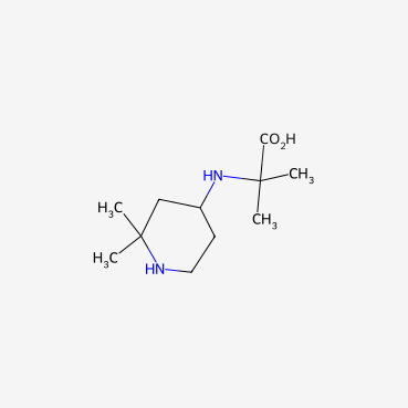 CC1(C)CC(NC(C)(C)C(=O)O)CCN1